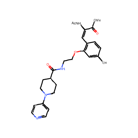 COC(=O)/C(=C\c1ccc(C#N)cc1OCCNC(=O)C1CCN(c2ccncc2)CC1)NC(C)=O